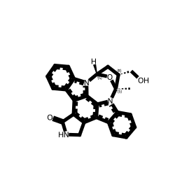 C[C@]12O[C@@H](C[C@@H]1CO)n1c3ccccc3c3c4c(c5c6ccccc6n2c5c31)CNC4=O